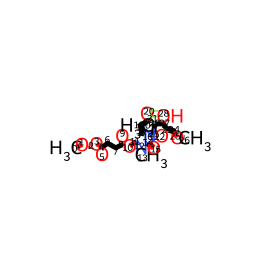 COCOC(=O)CCC(=O)OCN(C)C(=O)N(/C=C\C=O)C1OC(COC)[C@@H](O)[C@@]1(C)F